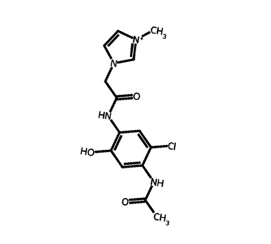 CC(=O)Nc1cc(O)c(NC(=O)Cn2cc[n+](C)c2)cc1Cl